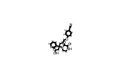 N#Cc1ccc(OCCCC(CC(=O)O)(c2cccnc2)N2CCNC(=O)C2=O)cc1